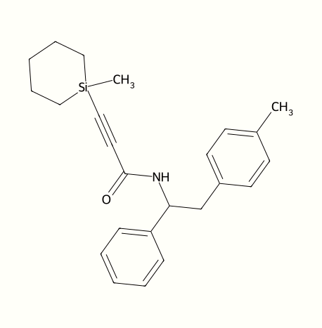 Cc1ccc(CC(NC(=O)C#C[Si]2(C)CCCCC2)c2ccccc2)cc1